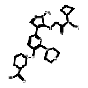 CN(C(=O)COc1c(-c2ccc(O[C@H]3CCC[C@H](C(=O)O)C3)c(N3CCOCC3)n2)cnn1C)C1CCC1